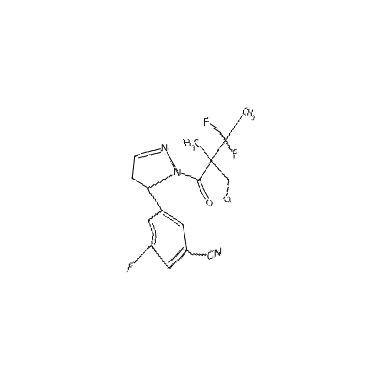 CC(F)(F)C(C)(CCl)C(=O)N1N=CCC1c1cc(F)cc(C#N)c1